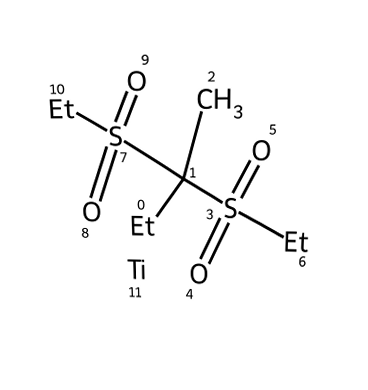 CCC(C)(S(=O)(=O)CC)S(=O)(=O)CC.[Ti]